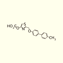 Cc1ccc(-c2ccc(OCc3nc(OC(=O)O)cs3)cc2)cc1